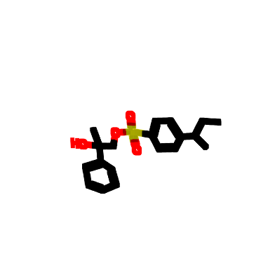 CCC(C)c1ccc(S(=O)(=O)OCC(C)(O)c2ccccc2)cc1